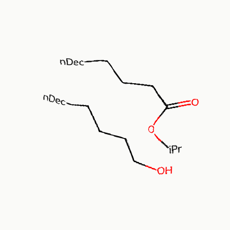 CCCCCCCCCCCCCC(=O)OC(C)C.CCCCCCCCCCCCCCO